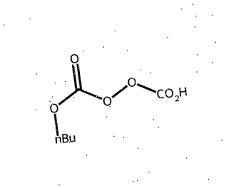 CCCCOC(=O)OOC(=O)O